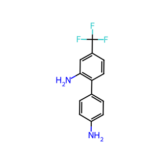 Nc1ccc(-c2ccc(C(F)(F)F)cc2N)cc1